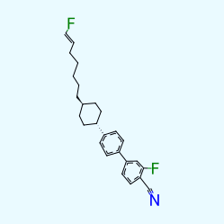 N#Cc1ccc(-c2ccc([C@H]3CC[C@H](CCCCC/C=C/F)CC3)cc2)cc1F